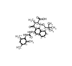 Cc1cc(C)c(NC(=O)Nc2cc3ccccc3cc2C(=O)N(C)C(COCC(C)(C)C)C(=O)O)c(C)c1